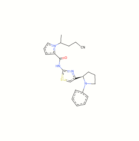 CC(CCC#N)n1cccc1C(=O)Nc1nc([C@H]2CCCN2c2ccccc2)cs1